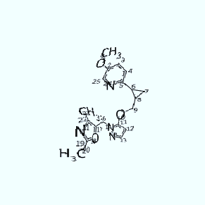 COc1ccc(C2CC2COc2ccnn2Cc2oc(C)nc2C)nc1